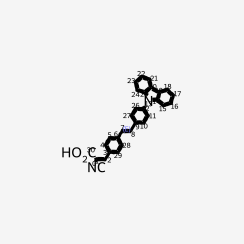 N#CC(=Cc1ccc(/C=C/c2ccc(-n3c4ccccc4c4ccccc43)cc2)cc1)C(=O)O